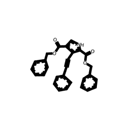 O=C(OCc1ccccc1)c1c[nH]c(C(=O)OCc2ccccc2)c1C#Cc1ccccc1